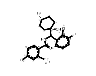 O=C(NC(c1cccc(F)c1Cl)[C@]1(O)CC[C@H](F)CC1)c1ccc(Cl)cc1C(F)(F)F